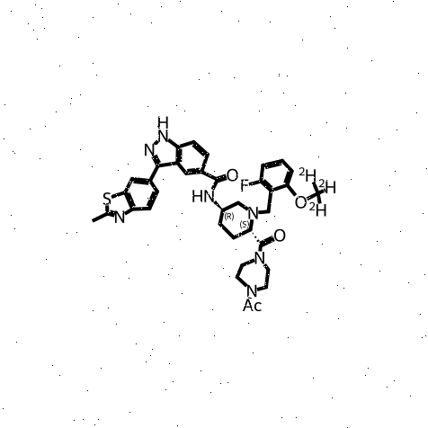 [2H]C([2H])([2H])Oc1cccc(F)c1CN1C[C@H](NC(=O)c2ccc3[nH]nc(-c4ccc5nc(C)sc5c4)c3c2)CC[C@H]1C(=O)N1CCN(C(C)=O)CC1